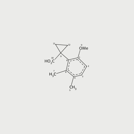 COc1ccc(C)c(C)c1C1(C(=O)O)CC1